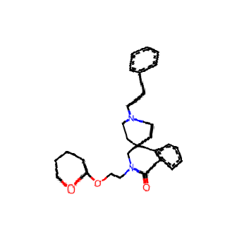 O=C1c2ccccc2C2(CCN(CCc3ccccc3)CC2)CN1CCOC1CCCCO1